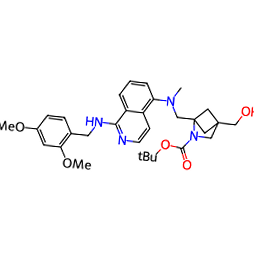 COc1ccc(CNc2nccc3c(N(C)CC45CC(CO)(CN4C(=O)OC(C)(C)C)C5)cccc23)c(OC)c1